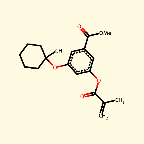 C=C(C)C(=O)Oc1cc(OC2(C)CCCCC2)cc(C(=O)OC)c1